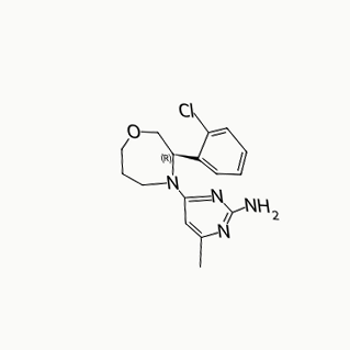 Cc1cc(N2CCCOC[C@H]2c2ccccc2Cl)nc(N)n1